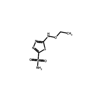 CCONc1nnc(S(N)(=O)=O)s1